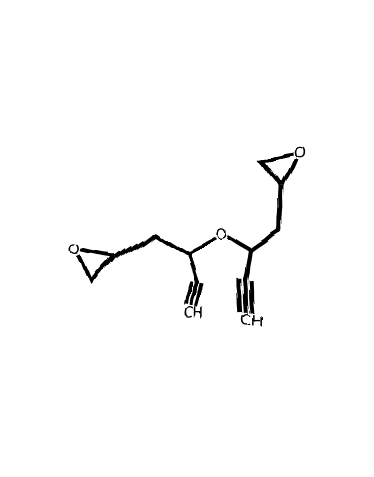 C#CC(CC1CO1)OC(C#C)CC1CO1